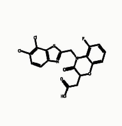 O=C(O)CC1Oc2cccc(F)c2N(Cc2nc3ccc(Cl)c(Cl)c3s2)C1=O